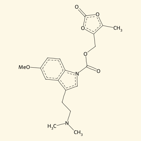 COc1ccc2c(c1)c(CCN(C)C)cn2C(=O)OCc1oc(=O)oc1C